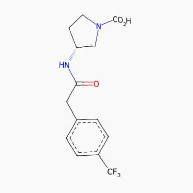 O=C(Cc1ccc(C(F)(F)F)cc1)N[C@@H]1CCN(C(=O)O)C1